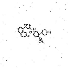 COc1ccc(S(=O)(=O)NCC2(c3cccc4ccc(F)cc34)CC2)cc1N1CCNCC1